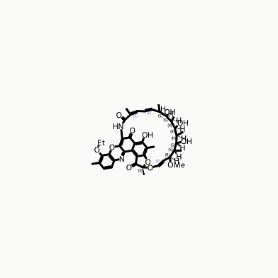 CCOc1c(C)ccc2nc3c4c5c6c(C)c(O)c4c(=O)c(c-3oc12)NC(=O)/C(C)=C\C=C\[C@H](C)[C@H](O)[C@@H](C)[C@@H](O)[C@@H](C)[C@H](O)[C@H](C)[C@@H](OC)/C=C/O[C@@](C)(O6)C5=O